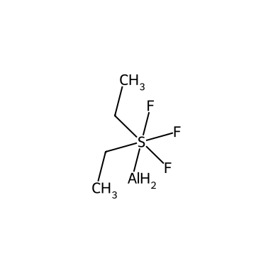 CC[S](F)(F)(F)([AlH2])CC